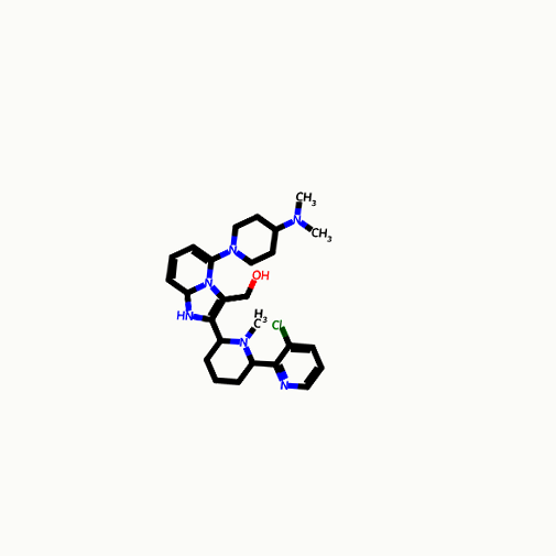 CN(C)C1CCN(C2=CC=CC3NC(C4CCCC(c5ncccc5Cl)N4C)=C(CO)N23)CC1